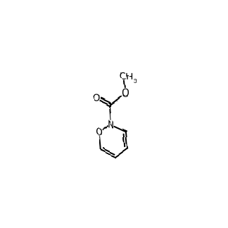 COC(=O)N1C=CC=CO1